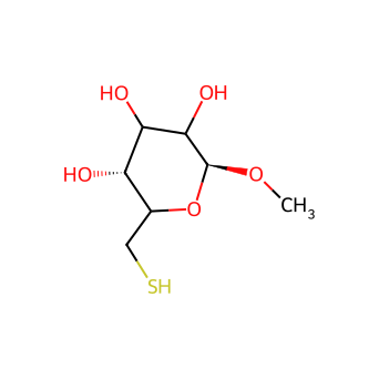 CO[C@H]1OC(CS)[C@H](O)C(O)C1O